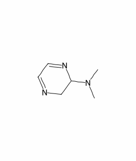 CN(C)C1CN=CC=N1